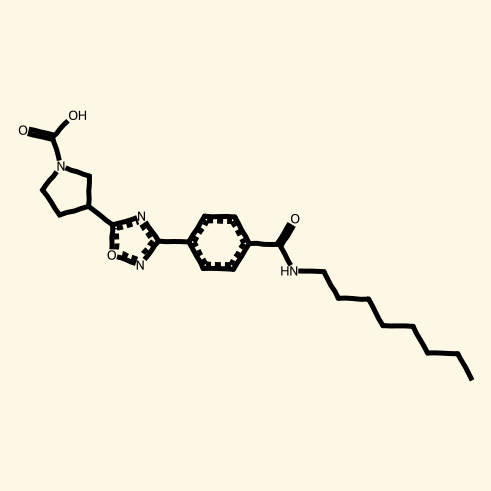 CCCCCCCCNC(=O)c1ccc(-c2noc(C3CCN(C(=O)O)C3)n2)cc1